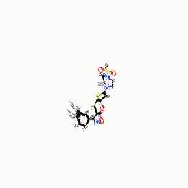 CS(=O)(=O)N1CCN(c2ccc(C=C3C(=O)ON=C3c3ccccc3)s2)CC1